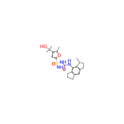 Cc1oc([SH](N)(=O)NC(=O)Nc2c3c(cc4c2C(C)CC4)CCC3)cc1C(C)(C)O